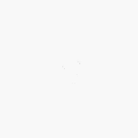 COC(=O)N1CCN(C(=O)CC(C)C)CC(O)(C(C)C)C1